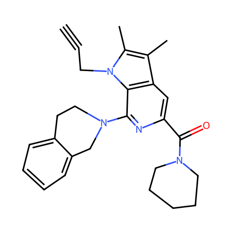 C#CCn1c(C)c(C)c2cc(C(=O)N3CCCCC3)nc(N3CCc4ccccc4C3)c21